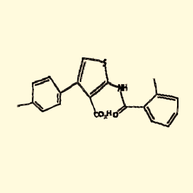 Cc1ccc(-c2csc(NC(=O)c3ccccc3C)c2C(=O)O)cc1